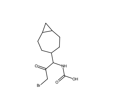 O=C(O)NC(C(=O)CBr)C1CCC2CC2CC1